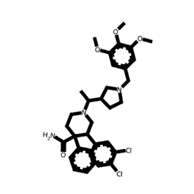 COc1cc(CN2CCC(C(C)N3CCC(C(N)=O)(c4ccccc4)C(c4ccc(Cl)c(Cl)c4)C3)C2)cc(OC)c1OC